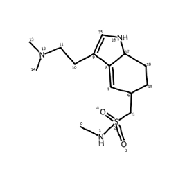 CNS(=O)(=O)CC1C=C2C(CCN(C)C)=CNC2CC1